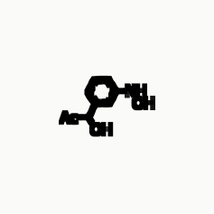 CC(=O)C(O)c1cccc(NO)c1